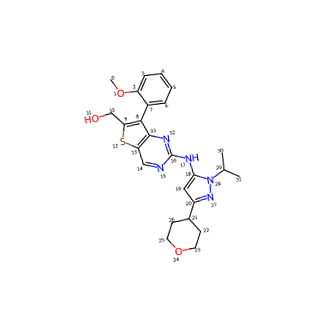 COc1ccccc1-c1c(CO)sc2cnc(Nc3cc(C4CCOCC4)nn3C(C)C)nc12